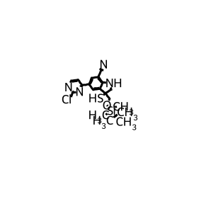 CC(C)(C)[Si](C)(C)OCC1(S)CNc2c(C#N)cc(-c3ccnc(Cl)n3)cc21